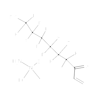 C=CC(=O)C(F)(F)C(F)(F)C(F)(F)C(F)(F)C(F)(F)C(F)(F)C(F)(F)F.CC[N+](C)(N)CC.[I-]